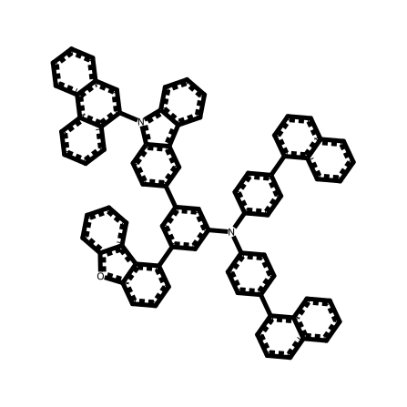 c1ccc2c(-c3ccc(N(c4ccc(-c5cccc6ccccc56)cc4)c4cc(-c5ccc6c(c5)c5ccccc5n6-c5cc6ccccc6c6ccccc56)cc(-c5cccc6oc7ccccc7c56)c4)cc3)cccc2c1